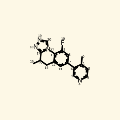 Cc1ccncc1-c1cc(F)c2c(c1)CC(C)c1nncn1-2